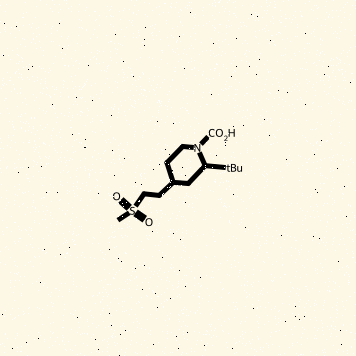 CC(C)(C)C1CC(CCS(C)(=O)=O)CCN1C(=O)O